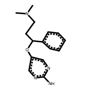 CN(C)CCC(Oc1cnc(N)nc1)c1ccccc1